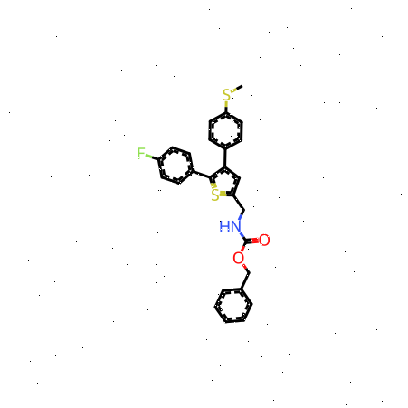 CSc1ccc(-c2cc(CNC(=O)OCc3ccccc3)sc2-c2ccc(F)cc2)cc1